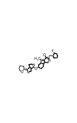 Cn1c2cc(Oc3nccc4c3cnn4C3CCCCO3)ccc2c2cnn(Cc3ccccc3F)c(=O)c21